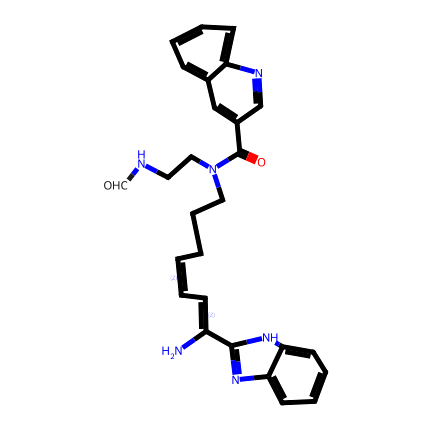 N/C(=C\C=C/CCCN(CCNC=O)C(=O)c1cnc2ccccc2c1)c1nc2ccccc2[nH]1